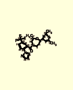 Cc1cc(N2CCN(C(=O)c3cc(C(F)(F)F)ccc3-n3nccn3)C[C@H](C)O2)nc(C)n1